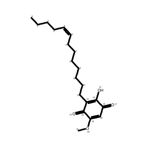 CCCC/C=C\CCCCCCCC1=C(O)C(=O)C=C(OC)C1=O